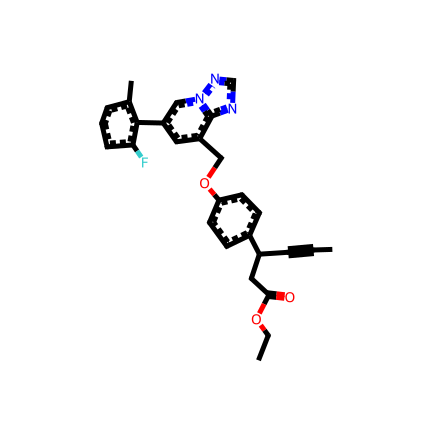 CC#CC(CC(=O)OCC)c1ccc(OCc2cc(-c3c(C)cccc3F)cn3ncnc23)cc1